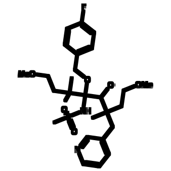 COCCC(C)(Cc1cccnc1)C([O])C(NS(C)(=O)=O)(OCc1ccc(F)cc1)C(C)(C)CCOC